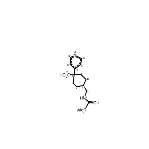 COC(=O)NC[C@H]1CC[C@](C(=O)O)(c2ccncc2)CC1